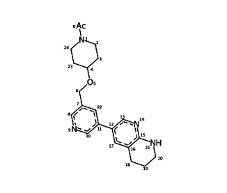 CC(=O)N1CCC(OCc2cncc(-c3cnc4c(c3)CCCN4)c2)CC1